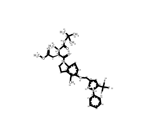 COC(=O)C[C@H](C(=O)N1CCc2c1ccc(OCc1cc(C(F)(F)F)n(-c3ccccc3)n1)c2C)N(C)C(=O)OC(C)(C)C